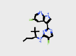 CCCC(Nc1nc(-c2c[nH]c3ncc(F)cc23)ncc1F)C(C)(C)C